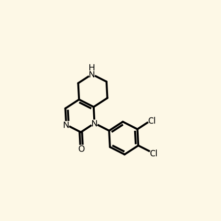 O=c1ncc2c(n1-c1ccc(Cl)c(Cl)c1)CCNC2